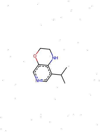 CC(C)c1cncc2c1NCCO2